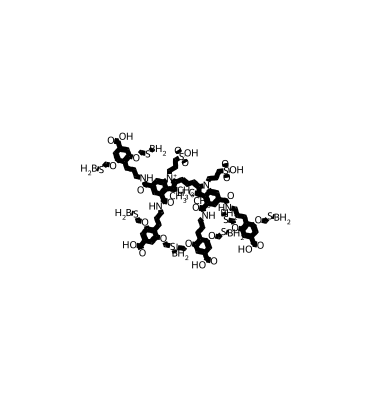 BSCOc1cc(C(=O)O)cc(OCI)c1CCCNC(=O)c1cc(C(=O)NCCCc2c(OCSB)cc(C(=O)O)cc2OCSB)cc2c1C(C)(C)/C(=C\C=C\C1=[N+](CCCS(=O)(=O)O)c3cc(C(=O)NCCCc4c(OCSB)cc(C(=O)O)cc4OCSB)cc(C(=O)NCCCc4c(OCSB)cc(C(=O)O)cc4OCSB)c3C1(C)C)N2CCCS(=O)(=O)O